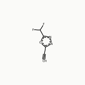 C#Cc1nnc(C(F)F)o1